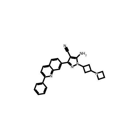 N#Cc1c(-c2ccc3ccc(-c4ccccc4)nc3c2)nn(C2CC(N3CCC3)C2)c1N